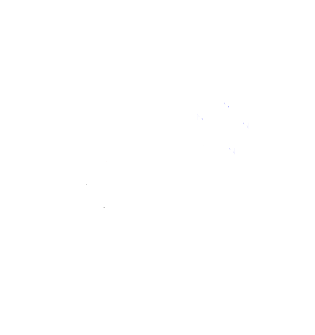 CC1(C)OB(c2ccn3nnnc3c2)OC1(C)C